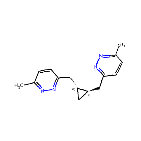 Cc1ccc(C[C@H]2C[C@@H]2Cc2ccc(C)nn2)nn1